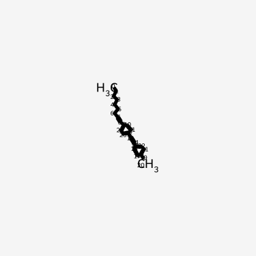 CCCCCCCC#Cc1ccc(C#Cc2ccc(CC)cc2)cc1